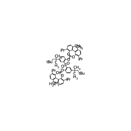 Cc1ccc(C(C)C)c2op(Oc3ccc(C(C)(C)CC(C)(C)C)cc3S(=O)(=O)c3cc(C(C)(C)CC(C)(C)C)ccc3Op3oc4c(C(C)C)ccc(C)c4c4c(C)ccc(C(C)C)c4o3)oc3c(C(C)C)ccc(C)c3c12